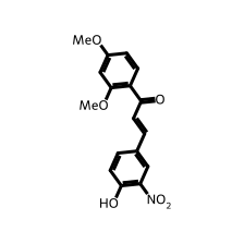 COc1ccc(C(=O)C=Cc2ccc(O)c([N+](=O)[O-])c2)c(OC)c1